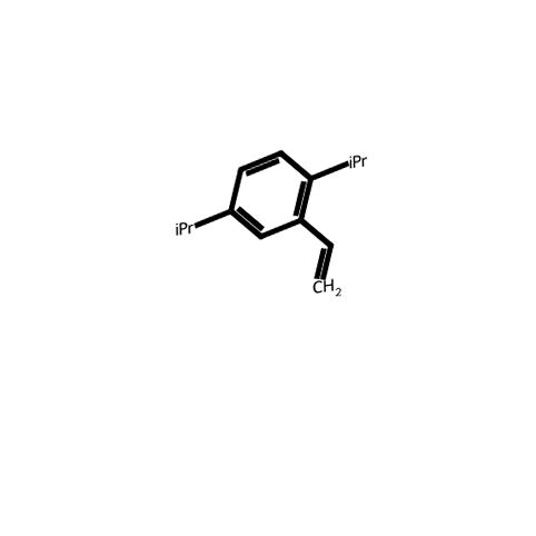 C=Cc1cc(C(C)C)ccc1C(C)C